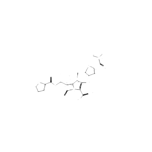 C[C@@H](NC(=O)C1CCCN1)[C@H]1C(=O)N2C(C(=O)O)=C(S[C@@H]3CN[C@H](C(=O)N(C)C)C3)[C@H](C)[C@H]12